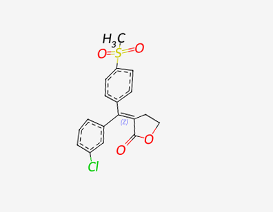 CS(=O)(=O)c1ccc(/C(=C2\CCOC2=O)c2cccc(Cl)c2)cc1